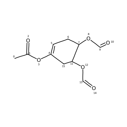 CC(=O)OC1=CCC(OC=O)C(OC=O)C1